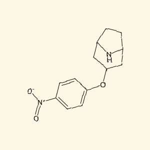 O=[N+]([O-])c1ccc(OC2CC3CCC(C2)N3)cc1